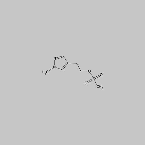 Cn1cc(CCOS(C)(=O)=O)cn1